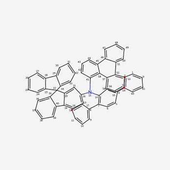 c1ccc(-c2ccc(-c3ccccc3)c(N(c3ccc4c(c3)C3(c5ccccc5-c5ccccc53)c3ccccc3-4)c3cccc4c5ccccc5c5ccccc5c34)c2)cc1